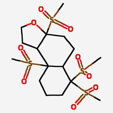 CS(=O)(=O)C12CCC3C(S(C)(=O)=O)(CCCC3(S(C)(=O)=O)S(C)(=O)=O)C1CCO2